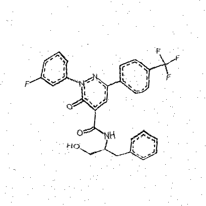 O=C(N[C@H](CO)Cc1ccccc1)c1cc(-c2ccc(C(F)(F)F)cc2)nn(-c2cccc(F)c2)c1=O